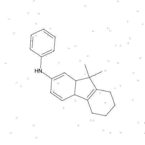 CC1(C)C2=C(CCCC2)C2C=CC(Nc3ccccc3)=CC21